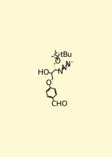 CC(C)(C)[Si](C)(C)OC[C@H](N=[N+]=[N-])[C@H](O)COc1ccc(C=O)cc1